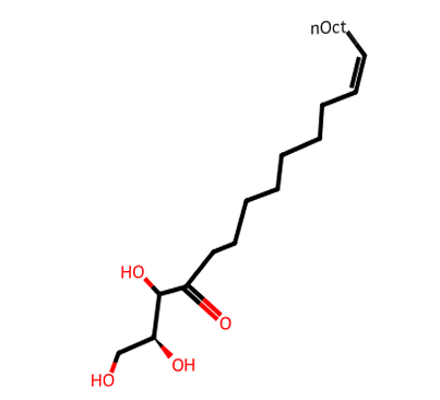 CCCCCCCC/C=C\CCCCCCCC(=O)C(O)[C@@H](O)CO